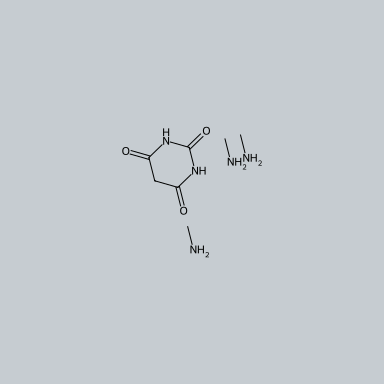 CN.CN.CN.O=C1CC(=O)NC(=O)N1